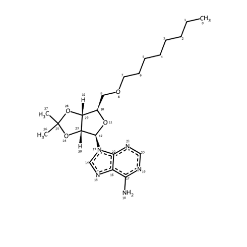 CCCCCCCCOC[C@H]1O[C@@H](n2cnc3c(N)ncnc32)[C@@H]2OC(C)(C)O[C@@H]21